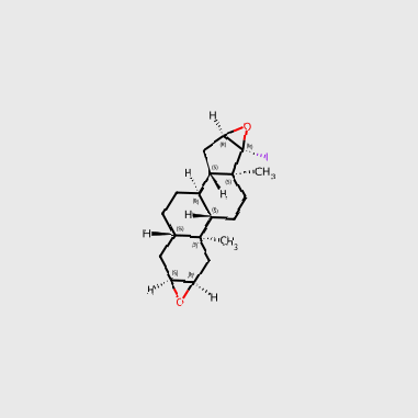 C[C@]12C[C@H]3O[C@H]3C[C@@H]1CC[C@@H]1[C@@H]2CC[C@@]2(C)[C@H]1C[C@H]1O[C@]12I